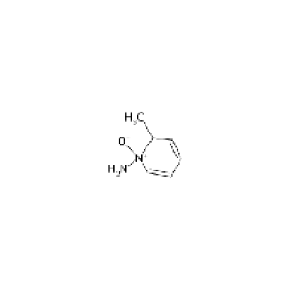 CC1C=CC=C[N+]1(N)[O-]